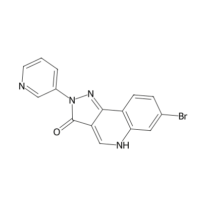 O=c1c2c[nH]c3cc(Br)ccc3c-2nn1-c1cccnc1